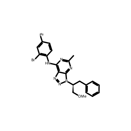 COC[C@H](Cc1ccccc1)n1nnc2c(Nc3ccc(C(C)C)cc3Br)nc(C)nc21